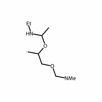 [CH2]C(COCNC)OC(C)NCC